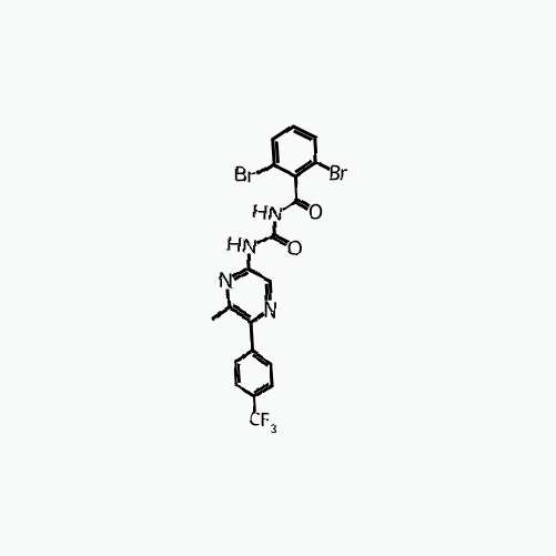 Cc1nc(NC(=O)NC(=O)c2c(Br)cccc2Br)cnc1-c1ccc(C(F)(F)F)cc1